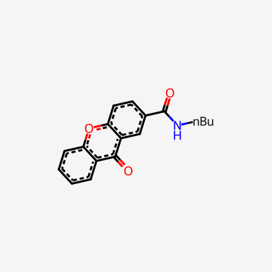 CCCCNC(=O)c1ccc2oc3ccccc3c(=O)c2c1